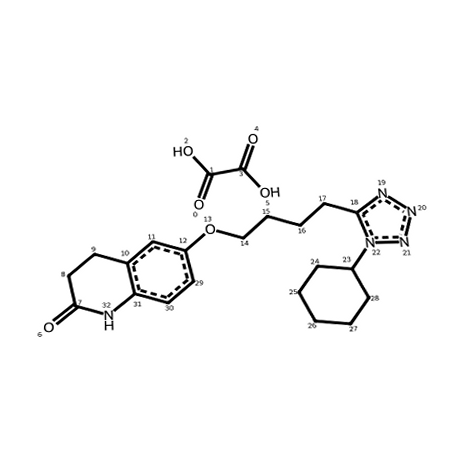 O=C(O)C(=O)O.O=C1CCc2cc(OCCCCc3nnnn3C3CCCCC3)ccc2N1